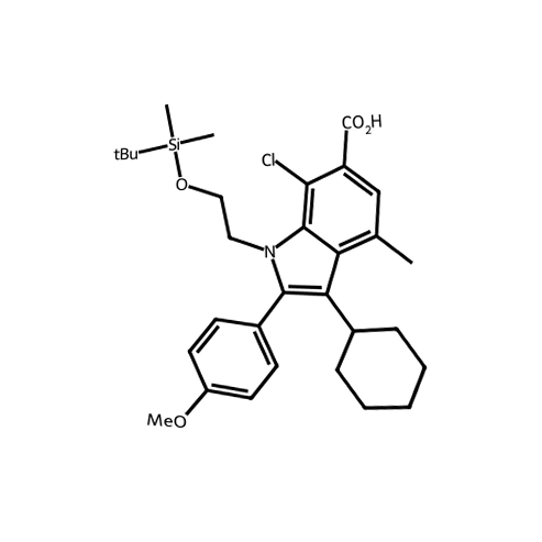 COc1ccc(-c2c(C3CCCCC3)c3c(C)cc(C(=O)O)c(Cl)c3n2CCO[Si](C)(C)C(C)(C)C)cc1